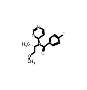 COC[C@H](C)N(C(=O)c1ccc(F)cc1)C1C=CN=CO1